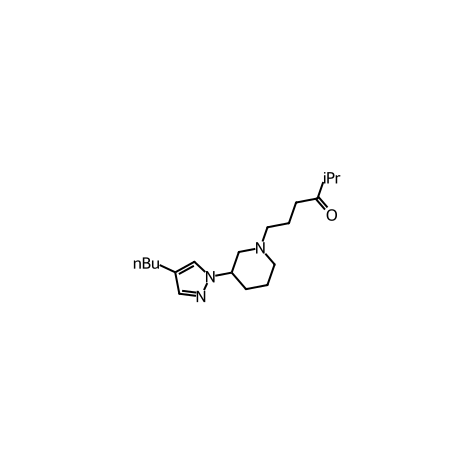 CCCCc1cnn(C2CCCN(CCCC(=O)C(C)C)C2)c1